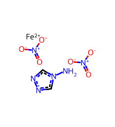 Nn1cnnc1.O=[N+]([O-])[O-].O=[N+]([O-])[O-].[Fe+2]